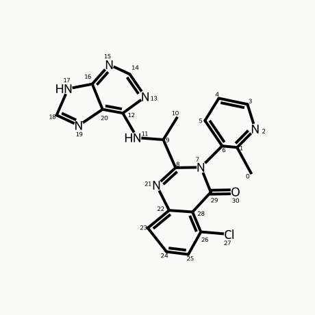 Cc1ncccc1-n1c(C(C)Nc2ncnc3[nH]cnc23)nc2cccc(Cl)c2c1=O